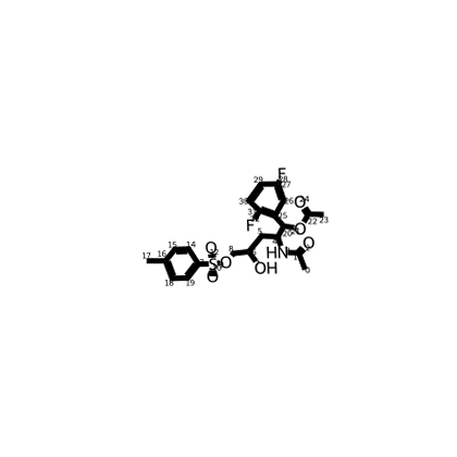 CC(=O)NC(CC(O)COS(=O)(=O)c1ccc(C)cc1)C(OC(C)=O)c1cc(F)ccc1F